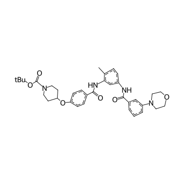 Cc1ccc(NC(=O)c2cccc(N3CCOCC3)c2)cc1NC(=O)c1ccc(OC2CCN(C(=O)OC(C)(C)C)CC2)cc1